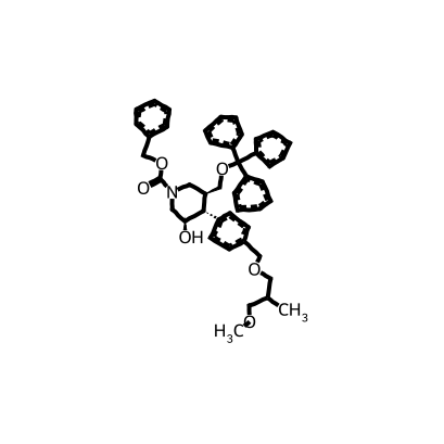 COCC(C)COCc1ccc([C@H]2[C@H](COC(c3ccccc3)(c3ccccc3)c3ccccc3)CN(C(=O)OCc3ccccc3)C[C@@H]2O)cc1